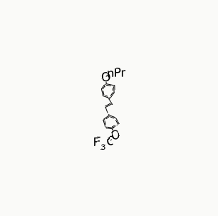 CCCOc1ccc(C=Cc2ccc(OC(F)(F)F)cc2)cc1